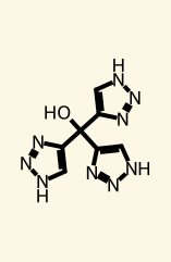 OC(c1c[nH]nn1)(c1c[nH]nn1)c1c[nH]nn1